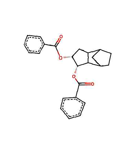 O=C(O[C@@H]1CC2C3CCC(C3)C2[C@@H]1OC(=O)c1ccccc1)c1ccccc1